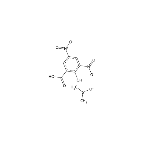 C[S+](C)[O-].O=C(O)c1cc([N+](=O)[O-])cc([N+](=O)[O-])c1O